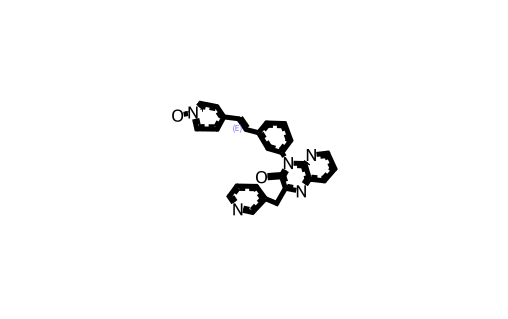 O=c1c(Cc2cccnc2)nc2cccnc2n1-c1cccc(/C=C/c2cc[n+]([O-])cc2)c1